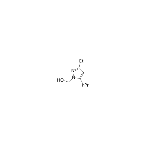 CCCc1cc(CC)nn1CO